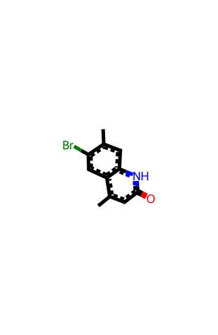 Cc1cc2[nH]c(=O)cc(C)c2cc1Br